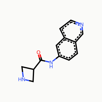 O=C(Nc1ccc2cnccc2c1)C1CNC1